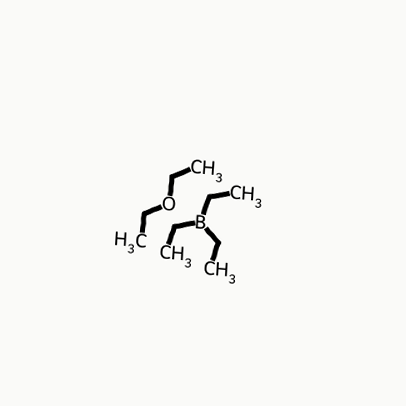 CCB(CC)CC.CCOCC